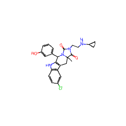 CC12Cc3c([nH]c4ccc(Cl)cc34)C(c3cccc(O)c3)N1C(=O)N(CCNC1CC1)C2=O